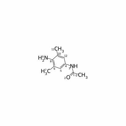 CC(=O)Nc1cc(C)c(N)c(C)c1